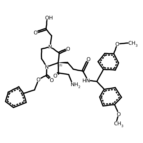 COc1ccc(C(NC(=O)CC[C@]2(C(=O)CN)C(=O)N(CC(=O)O)CCN2C(=O)OCc2ccccc2)c2ccc(OC)cc2)cc1